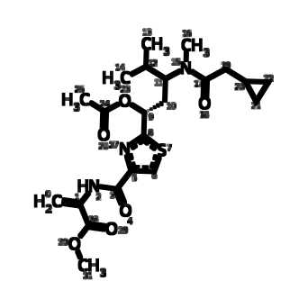 C=C(NC(=O)c1csc([C@@H](CC(C(C)C)N(C)C(=O)CC2CC2)OC(C)=O)n1)C(=O)OC